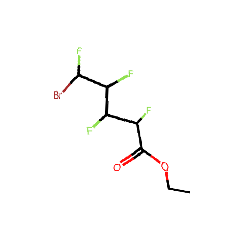 CCOC(=O)C(F)C(F)C(F)C(F)Br